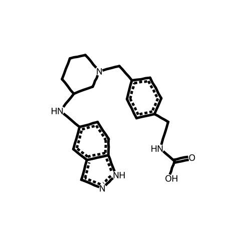 O=C(O)NCc1ccc(CN2CCCC(Nc3ccc4[nH]ncc4c3)C2)cc1